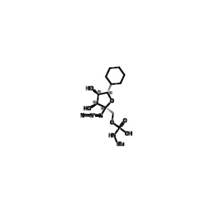 CC(C)(C)NP(=O)(O)OC[C@@]1(N=[N+]=[N-])O[C@@H](C2CCCCC2)[C@H](O)[C@@H]1O